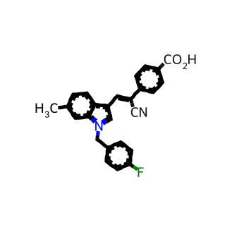 Cc1ccc2c(/C=C(\C#N)c3ccc(C(=O)O)cc3)cn(Cc3ccc(F)cc3)c2c1